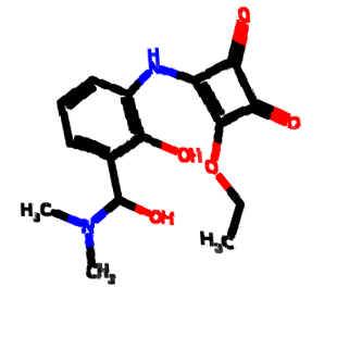 CCOc1c(Nc2cccc(C(O)N(C)C)c2O)c(=O)c1=O